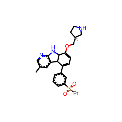 CCS(=O)(=O)c1cccc(C2=CC=C(OC[C@H]3CCNC3)C3Nc4ncc(C)cc4C23)c1